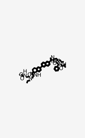 CCCN(Cc1nc2c([nH]1)-c1ccc(-c3ccc4cc(-c5cnc(CN(CCC)C(=O)[C@H](NC(=O)C(C)C)c6ccccc6)[nH]5)ccc4c3)cc1CC2)C(=O)CNC(=O)OC